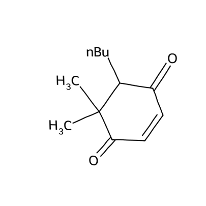 CCCCC1C(=O)C=CC(=O)C1(C)C